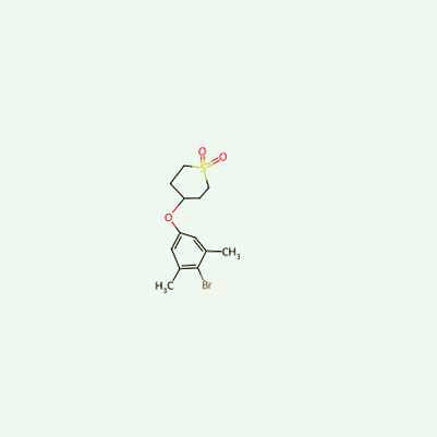 Cc1cc(OC2CCS(=O)(=O)CC2)cc(C)c1Br